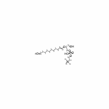 CCCCCCCCCCCCCCCCCCC=CO[C@H](CO)COP(=O)(O)OCC[N+](C)(C)C